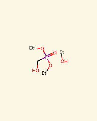 CCO.CCOP(=O)(CO)OCC